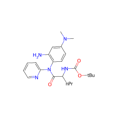 CCCC(NC(=O)OC(C)(C)C)C(=O)N(c1ccccn1)c1ccc(N(C)C)cc1N